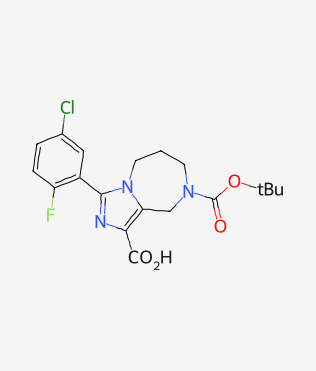 CC(C)(C)OC(=O)N1CCCn2c(-c3cc(Cl)ccc3F)nc(C(=O)O)c2C1